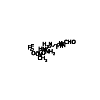 Cc1cc(OC2CC(F)(F)C2)cc(CC(=O)N/C(N)=C/C=C(\N)CCC(F)Cn2cc(C=O)nn2)n1